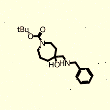 CC(C)(C)OC(=O)N1CCCC(O)(CNCc2ccccc2)CC1